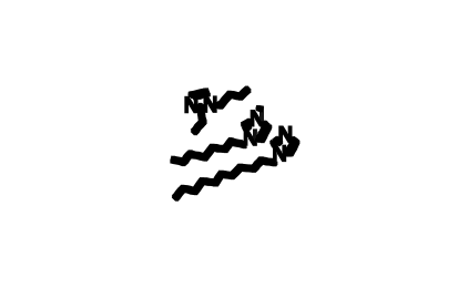 CCCCCCCCCCCn1ccnc1.CCCCCCCC[n+]1ccn(C)c1.CCCCn1ccnc1CC